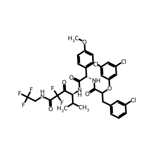 COc1ccc([C@H](NC(=O)C(Cc2cccc(Cl)c2)Oc2cc(Cl)cc(Cl)c2)C(=O)N[C@H](C(=O)C(F)(F)C(=O)NCC(F)(F)F)C(C)C)cc1